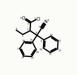 CCC(C(=O)Cl)C(C#N)(c1ccccc1)c1ccccc1